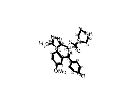 COc1ccc2c(c1)C(c1ccc(Cl)cc1)=N[C@@H](CC(=O)N1CCNCC1)c1nnc(C)n1-2